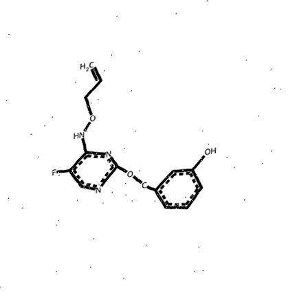 C=CCONc1nc(OCc2cccc(O)c2)ncc1F